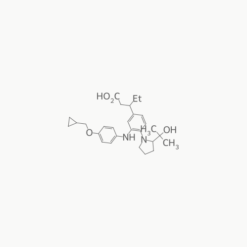 CCC(CC(=O)O)c1ccc(N2CCCC2C(C)(C)O)c(Nc2ccc(OCC3CC3)cc2)c1